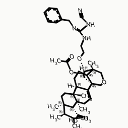 CC(=O)O[C@@H]1C[C@@]23COC[C@](C)([C@@H]2CC[C@H]2C3=CC[C@@]3(C)[C@H](C(=O)O)[C@@](C)([C@H](C)C(C)C)CC[C@]23C)[C@H]1OCCNC(=NCc1ccccc1)NC#N